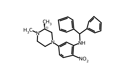 C[C@H]1CN(c2ccc([N+](=O)[O-])c(NC(c3ccccc3)c3ccccc3)c2)CCN1C